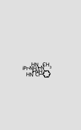 CC(C)NC(=N)NC(=N)N(C)c1ccccc1Cl